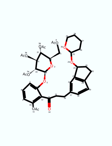 CC(=O)OC[C@H]1O[C@@H](Oc2cccc(OC(C)=O)c2C(=O)CCc2ccc3c(c2)C(OC2CCCCO2)CC3)[C@H](OC(C)=O)[C@@H](OC(C)=O)[C@@H]1OC(C)=O